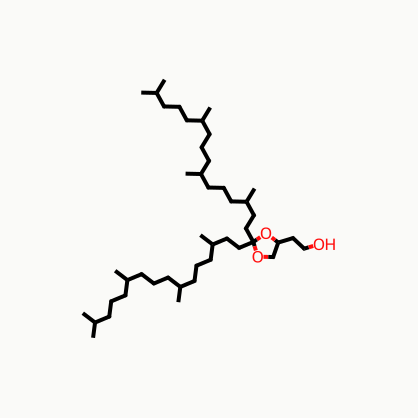 CC(C)CCCC(C)CCCC(C)CCCC(C)CCC1(CCC(C)CCCC(C)CCCC(C)CCCC(C)C)OCC(CCO)O1